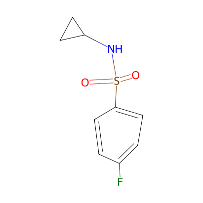 O=S(=O)(NC1CC1)c1ccc(F)cc1